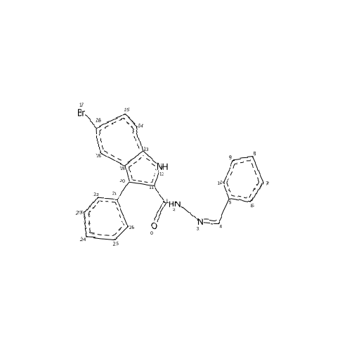 O=C(N/N=C\c1ccccc1)c1[nH]c2ccc(Br)cc2c1-c1ccccc1